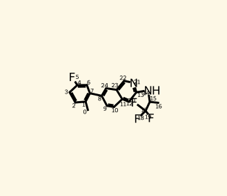 Cc1ccc(F)cc1-c1ccc2cc(NC(C)C(F)(F)F)ncc2c1